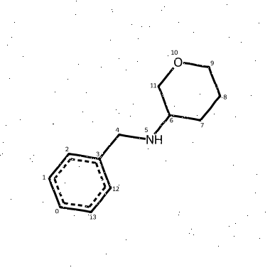 c1ccc(CNC2CCCOC2)cc1